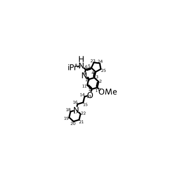 COc1cc2c3c(c(NC(C)C)nc2cc1OCCCN1CCCCC1)CCC3